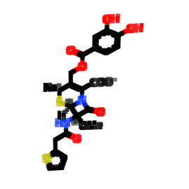 CO[C@]1(NC(=O)Cc2cccs2)C(=O)N2C(C(=O)[O-])=C(COC(=O)c3ccc(O)c(O)c3)CS[C@@H]21.[Na+]